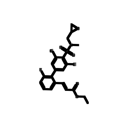 CCOC(=O)/C=C/c1cccc(F)c1-c1cc(Cl)c(S(=O)(=O)N(C)CC2CO2)c(Cl)c1